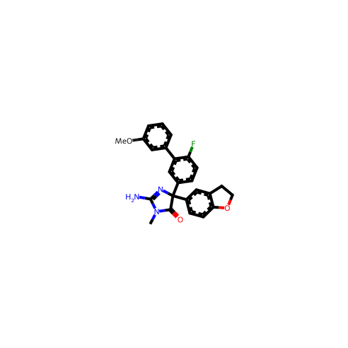 COc1cccc(-c2cc(C3(c4ccc5c(c4)CCO5)N=C(N)N(C)C3=O)ccc2F)c1